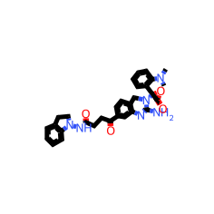 CN(C)c1ccccc1C1(N2Cc3ccc(C(=O)CCC(=O)NN4CCc5ccccc54)cc3N=C2N)OC1=O